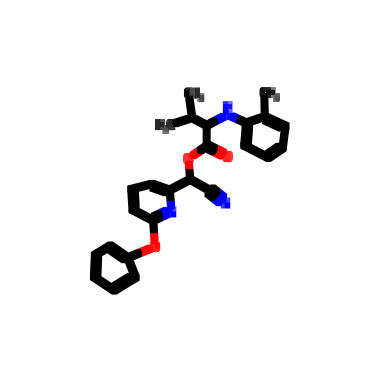 Cc1ccccc1NC(C(=O)OC(C#N)c1cccc(Oc2ccccc2)n1)C(C)C